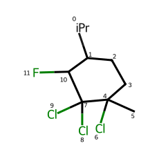 CC(C)C1CCC(C)(Cl)C(Cl)(Cl)C1F